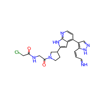 N=C/C=C\c1[nH]ncc1-c1ccnc2[nH]c(C3CCN(C(=O)CNC(=O)CCl)C3)cc12